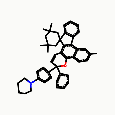 Cc1ccc2c3c(c4c(c2c1)-c1ccccc1C41CC(C)(C)CC(C)(C)C1)C=CC(c1ccccc1)(c1ccc(N2CCCCC2)cc1)O3